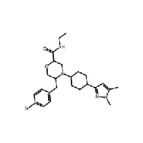 CCNC(=O)C1CN(C2CCC(c3cc(C)n(C)n3)CC2)C(Cc2ccc(Br)cc2)CO1